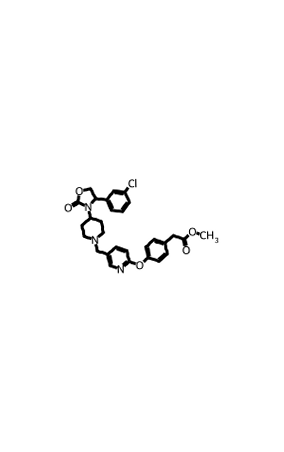 COC(=O)Cc1ccc(Oc2ccc(CN3CCC(N4C(=O)OCC4c4cccc(Cl)c4)CC3)cn2)cc1